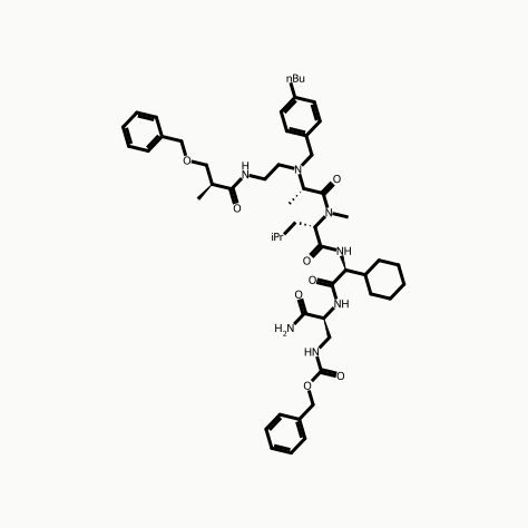 CCCCc1ccc(CN(CCNC(=O)[C@@H](C)COCc2ccccc2)[C@@H](C)C(=O)N(C)[C@@H](CC(C)C)C(=O)N[C@H](C(=O)N[C@@H](CNC(=O)OCc2ccccc2)C(N)=O)C2CCCCC2)cc1